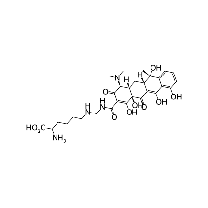 CN(C)[C@@H]1C(=O)C(C(=O)NCNCCCCC(N)C(=O)O)=C(O)[C@@]2(O)C(=O)C3=C(O)c4c(O)cccc4[C@@](C)(O)[C@H]3C[C@@H]12